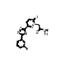 CCNC(=O)Cn1nc(-c2nc(-c3cccc(F)c3)no2)ccc1=O